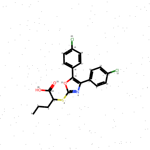 CCCC(Sc1nc(-c2ccc(Cl)cc2)c(-c2ccc(Cl)cc2)o1)C(=O)O